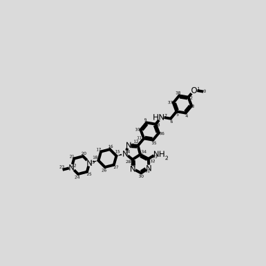 COc1ccc(CNc2ccc(-c3nn([C@H]4CC[C@@H](N5CCN(C)CC5)CC4)c4ncnc(N)c34)cc2)cc1